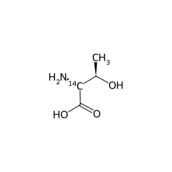 C[C@@H](O)[14C@H](N)C(=O)O